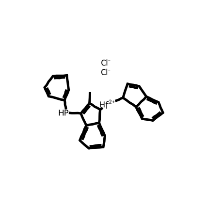 CC1=C(Pc2ccccc2)c2ccccc2[CH]1[Hf+2][CH]1C=Cc2ccccc21.[Cl-].[Cl-]